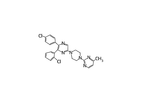 Cc1ccnc(N2CCN(c3cnc(-c4ccc(Cl)cc4)c(-c4ccccc4Cl)n3)CC2)n1